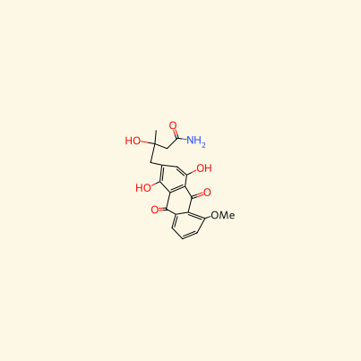 COc1cccc2c1C(=O)c1c(O)cc(CC(C)(O)CC(N)=O)c(O)c1C2=O